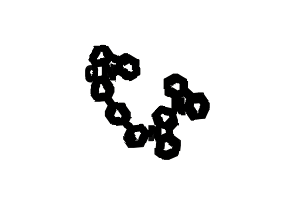 c1cc(-c2ccc(-c3ccc4c(c3)-n3c5ccccc5c5cccc(c53)O4)cc2)cc(-n2c3ccccc3c3cc(-n4c5ccccc5c5ccccc54)ccc32)c1